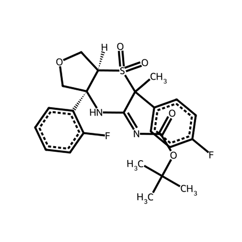 CC(C)(C)OC(=O)/N=C1/N[C@@]2(c3ccccc3F)COC[C@H]2S(=O)(=O)C1(C)c1ccc(F)cc1